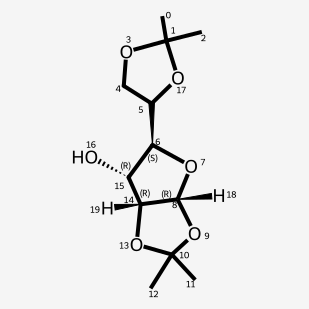 CC1(C)OCC([C@H]2O[C@@H]3OC(C)(C)O[C@@H]3[C@@H]2O)O1